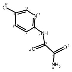 NC(=O)C(=O)Nc1ccc(Cl)cn1